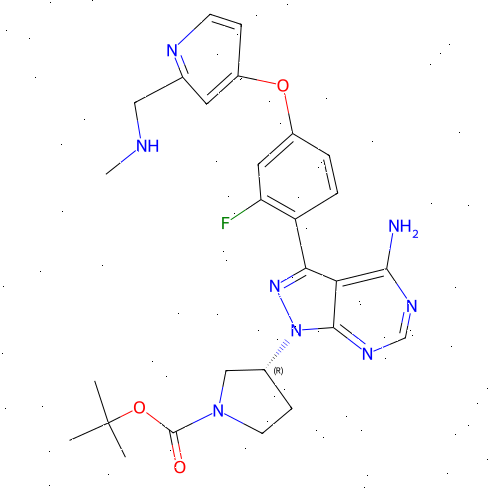 CNCc1cc(Oc2ccc(-c3nn([C@@H]4CCN(C(=O)OC(C)(C)C)C4)c4ncnc(N)c34)c(F)c2)ccn1